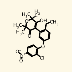 CCc1ccc(Oc2ccc([N+](=O)[O-])cc2Cl)cc1C1=C(O)C(C)(C)OC(C)(C)C1=O